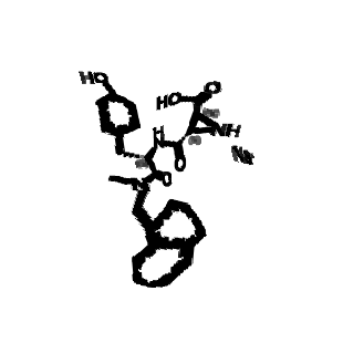 CN(Cc1cccc2ccccc12)C(=O)[C@H](Cc1ccc(O)cc1)NC(=O)[C@H]1N[C@@H]1C(=O)O.[Na]